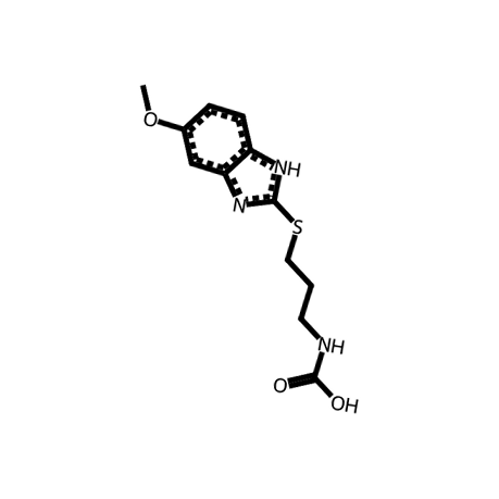 COc1ccc2[nH]c(SCCCNC(=O)O)nc2c1